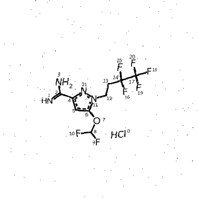 Cl.N=C(N)c1cc(OC(F)F)n(CCC(F)(F)C(F)(F)F)n1